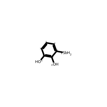 Oc1ccc[c]([SbH2])c1O